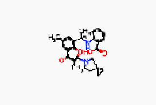 Cc1cc([C@@H](C)Nc2ccccc2C(=O)O)c2oc(N3CCC4(CC3)CC4)c(C)c(=O)c2c1